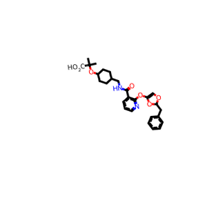 CC(C)(OC1CCC(CNC(=O)c2cccnc2OC2=COC(Cc3ccccc3)O2)CC1)C(=O)O